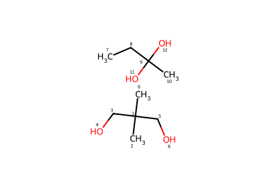 CC(C)(CO)CO.CCC(C)(O)O